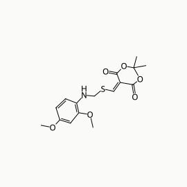 COc1ccc(NCSC=C2C(=O)OC(C)(C)OC2=O)c(OC)c1